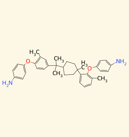 Cc1cc(C(C)(C)C2CCC(C)(c3cccc(C)c3Oc3ccc(N)cc3)CC2)ccc1Oc1ccc(N)cc1